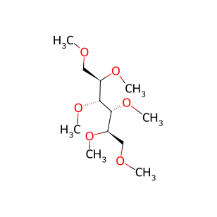 COC[C@@H](OC)[C@@H](OC)[C@H](OC)[C@@H](COC)OC